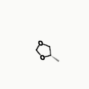 C[C@H]1COCO1